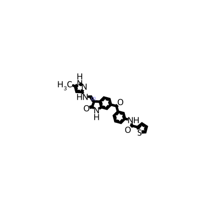 Cc1cc(N/C=C2\C(=O)Nc3cc(C(=O)c4cccc(NC(=O)c5cccs5)c4)ccc32)n[nH]1